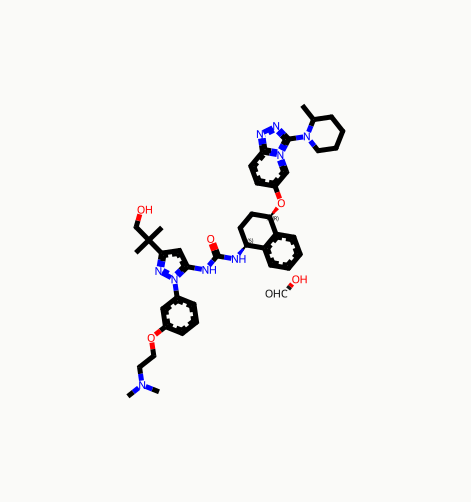 CC1CCCCN1c1nnc2ccc(O[C@@H]3CC[C@H](NC(=O)Nc4cc(C(C)(C)CO)nn4-c4cccc(OCCN(C)C)c4)c4ccccc43)cn12.O=CO